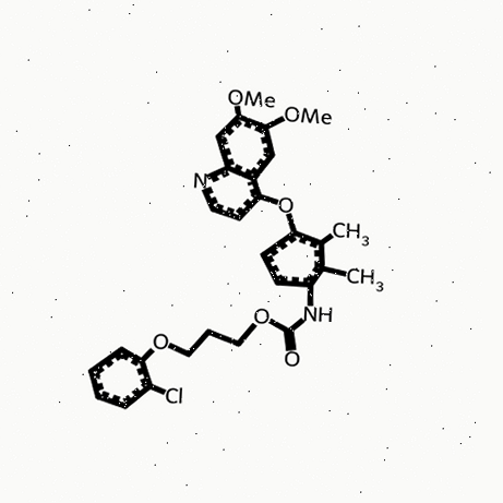 COc1cc2nccc(Oc3ccc(NC(=O)OCCCOc4ccccc4Cl)c(C)c3C)c2cc1OC